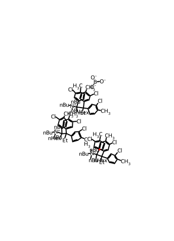 CCCCCCC(c1ccc(C)c(Cl)c1)(C(CC)(c1ccc(C)c(Cl)c1)c1ccc(C)c(Cl)c1)[N+](CCCC)(CCCC)CCCC.CCCCCCC(c1ccc(C)c(Cl)c1)(C(CC)(c1ccc(C)c(Cl)c1)c1ccc(C)c(Cl)c1)[N+](CCCC)(CCCC)CCCC.CCCCCCC(c1ccc(C)c(Cl)c1)(C(CC)(c1ccc(C)c(Cl)c1)c1ccc(C)c(Cl)c1)[N+](CCCC)(CCCC)CCCC.[O-]B([O-])[O-]